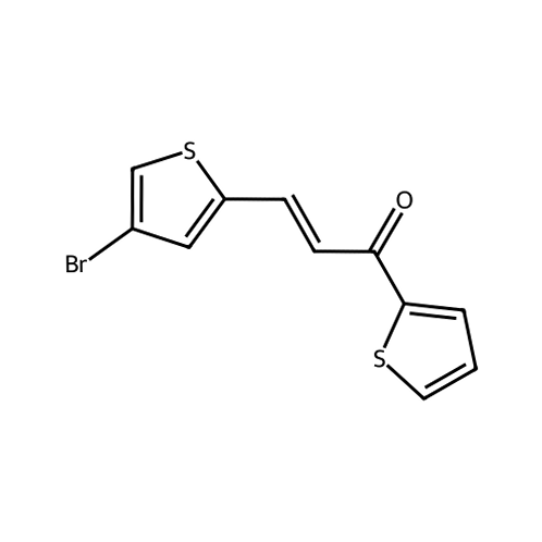 O=C(C=Cc1cc(Br)cs1)c1cccs1